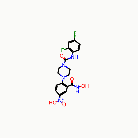 O=C(NO)c1cc([N+](=O)O)ccc1N1CCN(C(=O)Nc2ccc(F)cc2F)CC1